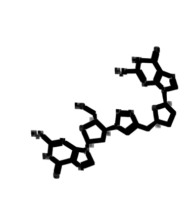 Nc1nc2c(ncn2[C@H]2CC[C@@H](Cc3cn([C@H]4C[C@H](n5cnc6c(=O)[nH]c(N)nc65)O[C@@H]4CO)nn3)O2)c(=O)[nH]1